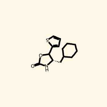 O=C1N[C@@H](CC2CCCCC2)C(c2cccs2)O1